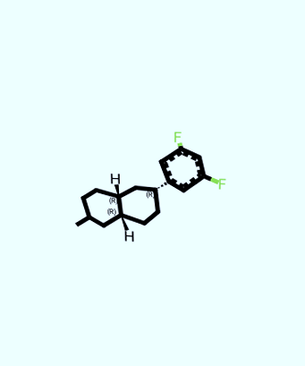 CC1CC[C@@H]2C[C@H](c3cc(F)cc(F)c3)CC[C@@H]2C1